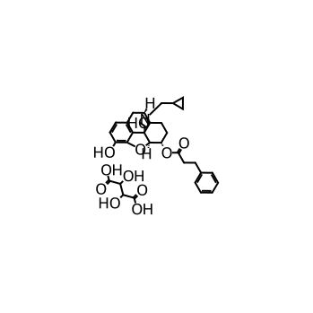 O=C(CCc1ccccc1)O[C@H]1CC[C@@]2(O)[C@H]3Cc4ccc(O)c5c4[C@@]2(CCN3CC2CC2)[C@@H]1O5.O=C(O)C(O)C(O)C(=O)O